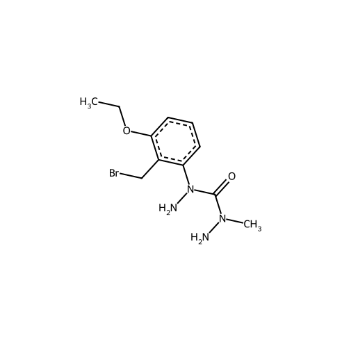 CCOc1cccc(N(N)C(=O)N(C)N)c1CBr